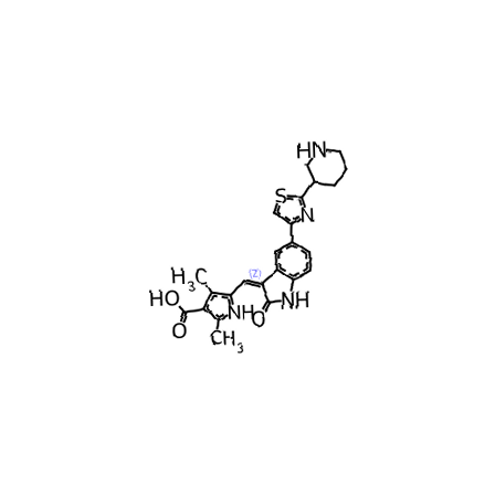 Cc1[nH]c(/C=C2\C(=O)Nc3ccc(-c4csc(C5CCCNC5)n4)cc32)c(C)c1C(=O)O